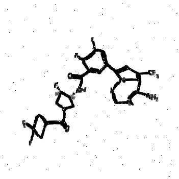 Nc1ncnn2c(-c3cc(F)c(F)c(C(=O)N[C@@H]4CN(C(=O)C5CC(F)(F)C5)C[C@@H]4F)c3)cc(C(F)(F)F)c12